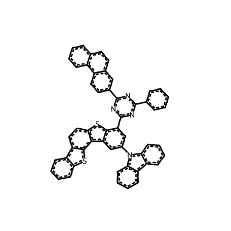 c1ccc(-c2nc(-c3ccc4c(ccc5ccccc54)c3)nc(-c3cc(-n4c5ccccc5c5ccccc54)cc4c3sc3ccc5c6ccccc6sc5c34)n2)cc1